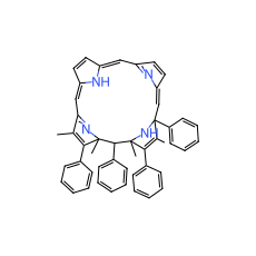 CC1=C(c2ccccc2)C2(C)N=C1C=c1ccc([nH]1)=CC1=NC(=CC3(c4ccccc4)NC(C)(C(c4ccccc4)=C3C)C2c2ccccc2)C=C1